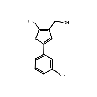 Cc1sc(-c2cccc(C(F)(F)F)c2)cc1CO